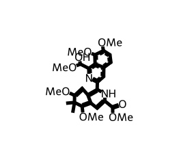 COC(=O)C1=CC2=C(OC)C(C)(C)C(OC)=CC2=C(c2cc3ccc(OC)c(OC)c3c(C(O)OC)n2)N1